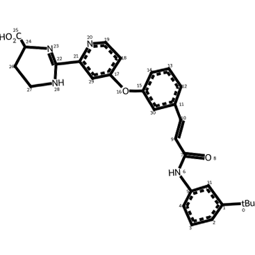 CC(C)(C)c1cccc(NC(=O)C=Cc2cccc(Oc3ccnc(C4=NC(C(=O)O)CCN4)c3)c2)c1